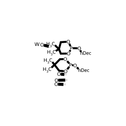 CCCCCCCCCCOP1OCC(C)(C)CO1.CCCCCCCCCCOP1OCC(C)(C)CO1.[C]=O.[C]=O.[C]=O.[C]=O.[W]